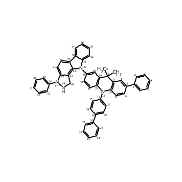 CC1(C)c2cc(-c3ccccc3)ccc2N(c2ccc(-c3ccccc3)cc2)c2ccc(-n3c4ccccc4c4ccc5c(c43)CNN5c3ccccc3)cc21